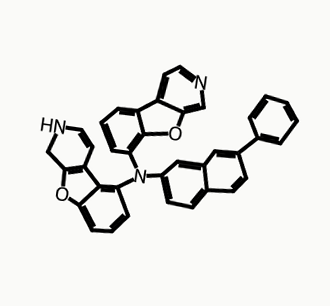 C1=Cc2c(oc3cccc(N(c4ccc5ccc(-c6ccccc6)cc5c4)c4cccc5c4oc4cnccc45)c23)CN1